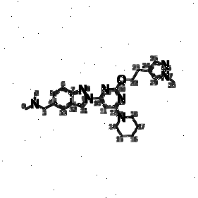 CN(C)Cc1ccc2nn(-c3cc(N4CCCCC4)nc(OCCc4cnn(C)c4)n3)cc2c1